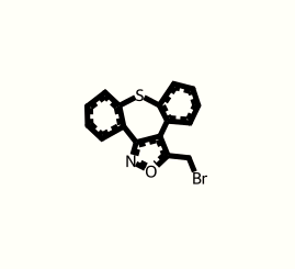 BrCc1onc2c1-c1ccccc1Sc1ccccc1-2